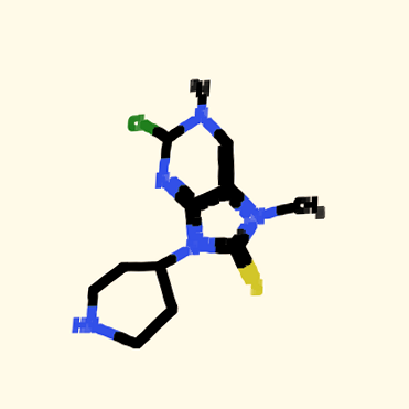 [2H]N1C=c2c(n(C3CCNCC3)c(=S)n2C)=NC1Cl